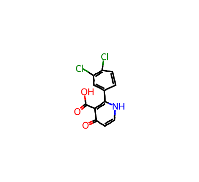 O=C(O)c1c(-c2ccc(Cl)c(Cl)c2)[nH]ccc1=O